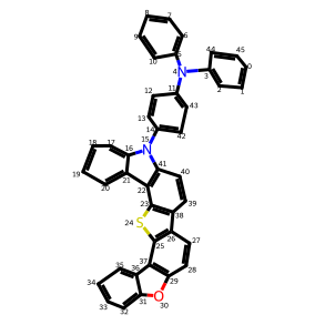 c1ccc(N(c2ccccc2)c2ccc(-n3c4ccccc4c4c5sc6c(ccc7oc8ccccc8c76)c5ccc43)cc2)cc1